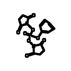 O=C1CCC(=O)N1OP(=O)(Oc1ccccc1)ON1C(=O)CCC1=O